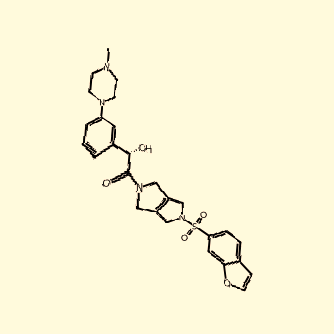 CN1CCN(c2cccc([C@H](O)C(=O)N3CC4=C(C3)CN(S(=O)(=O)c3ccc5ccoc5c3)C4)c2)CC1